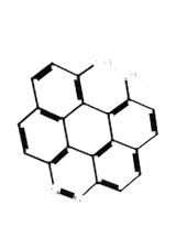 Cc1ccc2ccc3nnc4ccc5ccc(C)c6c1c2c3c4c56